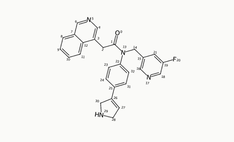 O=C(Cc1cncc2ccccc12)N(Cc1cncc(F)c1)c1ccc(C2=CCNC2)cc1